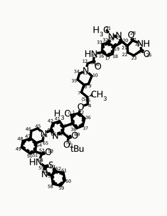 Cc1c(OC[C@@H](C)CC2CCN(CC(=O)Nc3ccc4c(C5CCC(=O)NC5=O)nn(C)c4c3)CC2)cccc1-c1ccc(N2CCc3cccc(C(=O)Nc4nc5ccccc5s4)c3C2)nc1C(=O)OC(C)(C)C